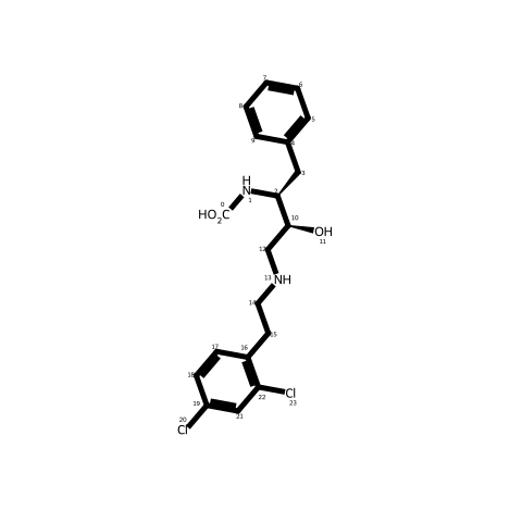 O=C(O)N[C@@H](Cc1ccccc1)[C@@H](O)CNCCc1ccc(Cl)cc1Cl